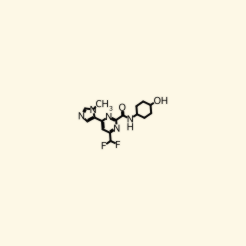 Cn1cncc1-c1cc(C(F)F)nc(C(=O)NC2CCC(O)CC2)n1